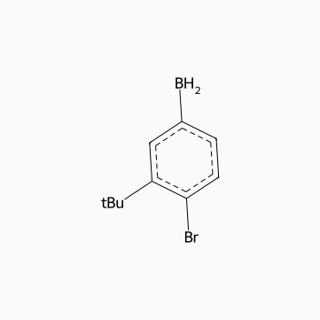 Bc1ccc(Br)c(C(C)(C)C)c1